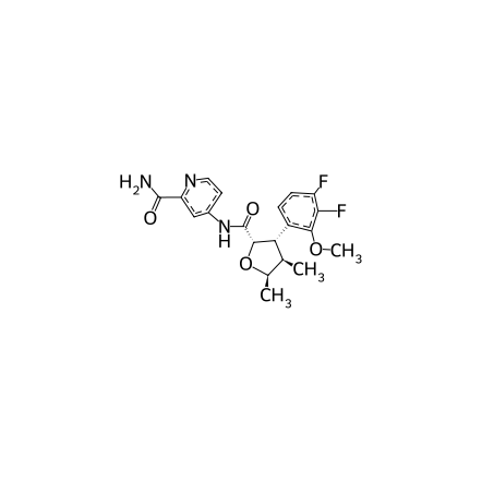 COc1c([C@@H]2[C@@H](C)[C@@H](C)O[C@@H]2C(=O)Nc2ccnc(C(N)=O)c2)ccc(F)c1F